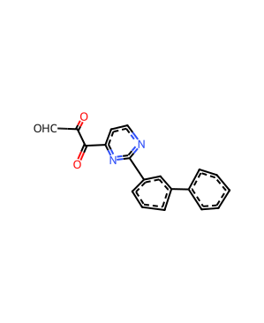 O=CC(=O)C(=O)c1ccnc(-c2cccc(-c3ccccc3)c2)n1